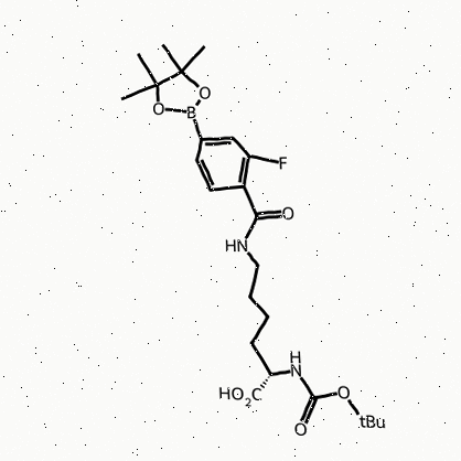 CC(C)(C)OC(=O)N[C@@H](CCCCNC(=O)c1ccc(B2OC(C)(C)C(C)(C)O2)cc1F)C(=O)O